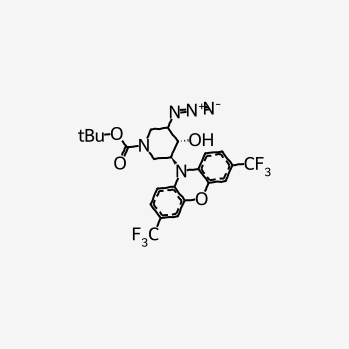 CC(C)(C)OC(=O)N1CC(N=[N+]=[N-])[C@H](O)[C@@H](N2c3ccc(C(F)(F)F)cc3Oc3cc(C(F)(F)F)ccc32)C1